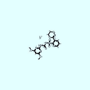 COc1cc(OC)nc(NC(=O)[N-]S(=O)(=O)c2ncccc2C2=NOCCO2)n1.[Li+]